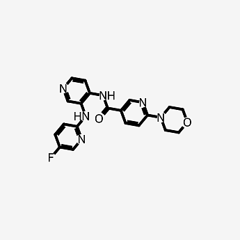 O=C(Nc1ccncc1Nc1ccc(F)cn1)c1ccc(N2CCOCC2)nc1